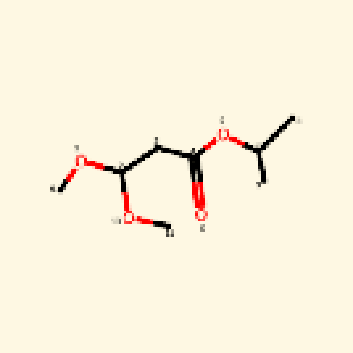 COC(CC(=O)OC(C)C)OC